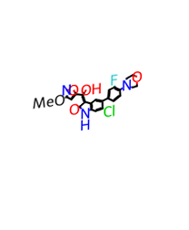 COc1cc(/C(O)=C2\C(=O)Nc3cc(Cl)c(-c4ccc(N5CCOCC5)c(F)c4)cc32)on1